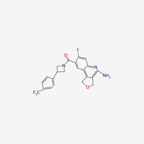 Nc1nc2cc(F)c(C(=O)N3CC(c4ccc(C(F)(F)F)cc4)C3)cc2c2c1COC2